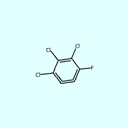 FC1=C=C=C(Cl)C(Cl)=C1Cl